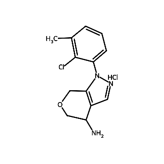 Cc1cccc(-n2ncc3c2COCC3N)c1Cl.Cl